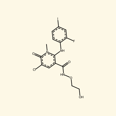 Cn1c(Nc2ccc(I)cc2F)c(C(=O)NOCCO)cc(Cl)c1=O